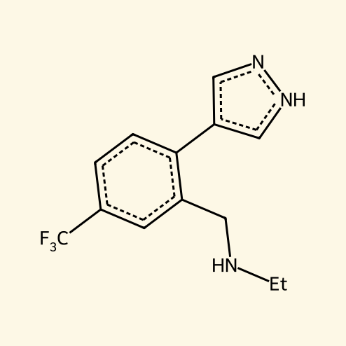 CCNCc1cc(C(F)(F)F)ccc1-c1cn[nH]c1